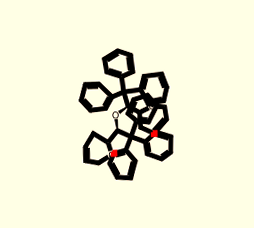 C1=CCC([C@@H](O[C@H](C2CC=CCO2)C(c2ccccc2)(c2ccccc2)c2ccccc2)C(c2ccccc2)(c2ccccc2)c2ccccc2)OC1